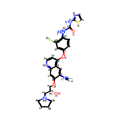 [C-]#[N+]c1cc2c(Oc3ccc(NC(=O)Nc4nccs4)c(F)c3)ccnc2cc1OC[C@H](O)CN1CCCC1